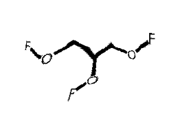 FOCC(COF)OF